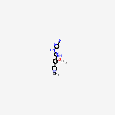 COc1cc(C2CCN(C)CC2)ccc1-c1cc(Nc2ccc(C#N)nc2)n[nH]1